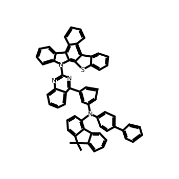 CC1(C)c2ccccc2-c2c(N(c3ccc(-c4ccccc4)cc3)c3cccc(-c4nc(-n5c6ccccc6c6c7ccccc7c7c8ccccc8sc7c65)nc5ccccc45)c3)cccc21